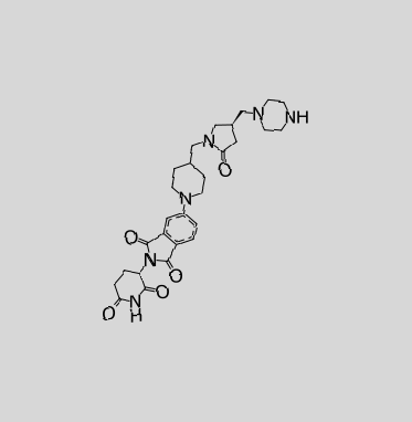 O=C1CCC(N2C(=O)c3ccc(N4CCC(CN5C[C@@H](CN6CCNCC6)CC5=O)CC4)cc3C2=O)C(=O)N1